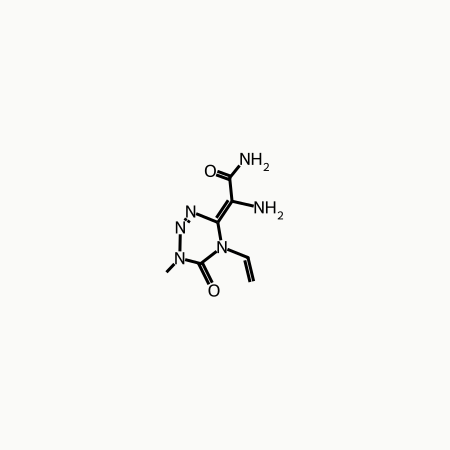 C=CN1C(=O)N(C)N=N/C1=C(/N)C(N)=O